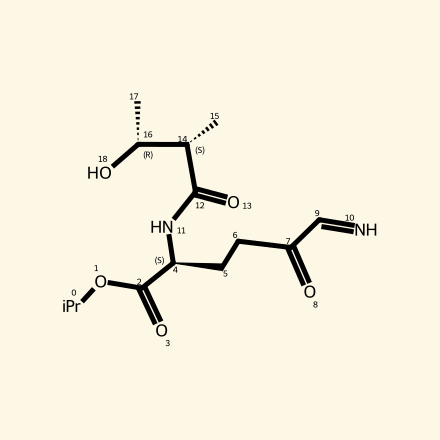 CC(C)OC(=O)[C@H](CCC(=O)C=N)NC(=O)[C@@H](C)[C@@H](C)O